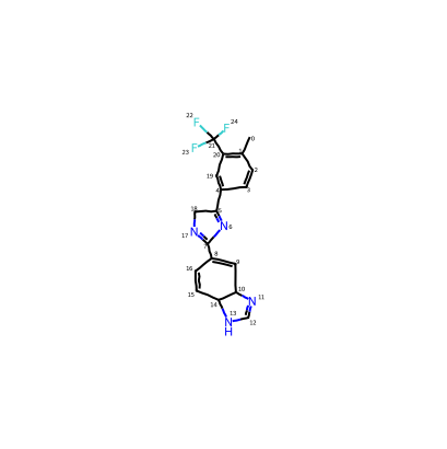 Cc1ccc(C2=NC(C3=CC4N=CNC4C=C3)=NC2)cc1C(F)(F)F